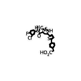 CN1SNC(c2ccc(-c3ccc(CC(=O)O)cc3)s2)CC1C(=O)Nc1ccc(F)c(Cl)c1